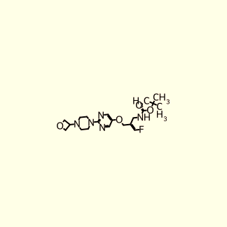 CC(C)(C)OC(=O)NC/C(=C\F)COc1cnc(N2CCN(C3COC3)CC2)nc1